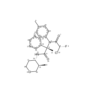 Cc1ccc(N(C(=O)[C@H](F)Cl)[C@](C)(C(=O)N[C@H]2CCOC[C@@H]2C)c2cncnc2)cc1